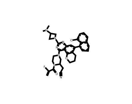 C=C(F)C(=O)N1CCN(c2nc(N3CC(N(C)C)C3)nc3cc(-c4cccc5cccc(Cl)c45)c4c(c23)OCCC4)CC1CC#N